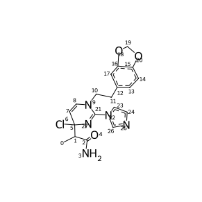 CC(C(N)=O)C1(Cl)C=CN(CCc2ccc3c(c2)OCO3)C(n2ccnc2)=N1